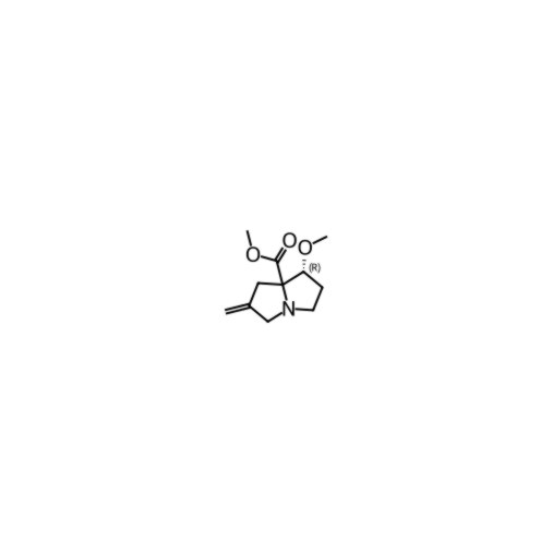 C=C1CN2CC[C@@H](OC)C2(C(=O)OC)C1